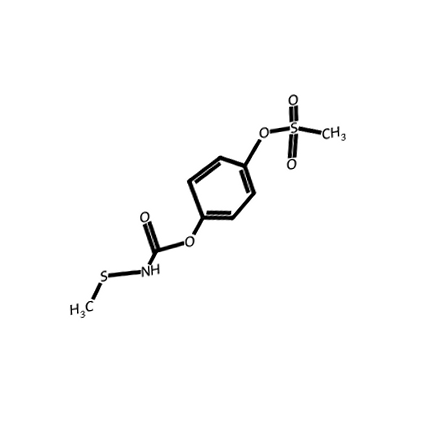 CSNC(=O)Oc1ccc(OS(C)(=O)=O)cc1